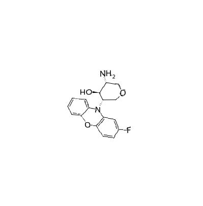 N[C@@H]1COC[C@H](N2c3ccccc3Oc3ccc(F)cc32)[C@H]1O